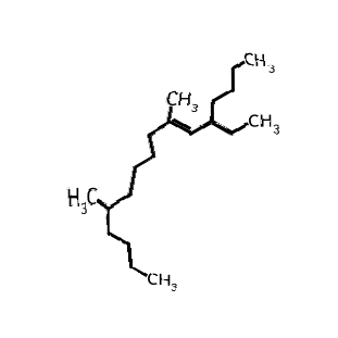 CCCCC(C)CCCCC(C)=CC(CC)CCCC